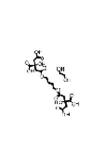 O=C(O)CC(O)(CC(=O)OCCCCOC(=O)CC(O)(CC(=O)O)C(=O)O)C(=O)O.OCCO